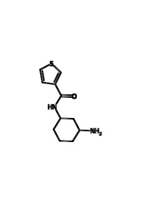 NC1CCCC(NC(=O)c2ccsc2)C1